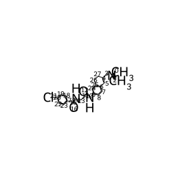 CN(C)CC1=Cc2ccc(NC(=O)CNC(=O)c3ccc(Cl)cc3)cc2CC1